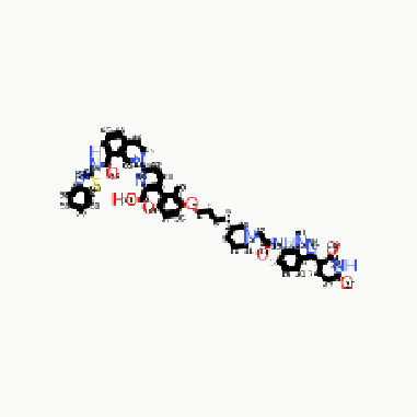 Cc1c(OCCCC[C@H]2CCCN(CC(=O)Nc3cccc4c(C5CCC(=O)NC5=O)nn(C)c34)C2)cccc1-c1ccc(N2CCc3cccc(C(=O)Nc4nc5ccccc5s4)c3C2)nc1C(=O)O